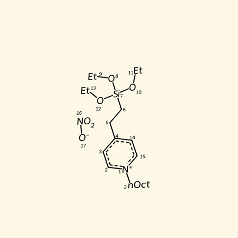 CCCCCCCC[n+]1ccc(CC[Si](OCC)(OCC)OCC)cc1.O=[N+]([O-])[O-]